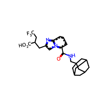 O=C(NCC12CC3CC(CC(C3)C1)C2)c1cccc2nc(CC(CC(F)(F)F)C(=O)O)cn12